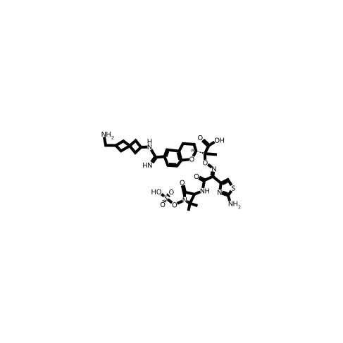 CC(ON=C(C(=O)NC1C(=O)N(OS(=O)(=O)O)C1(C)C)c1csc(N)n1)(C(=O)O)[C@H]1CCc2cc(C(=N)NC3CC4(CC(CN)C4)C3)ccc2O1